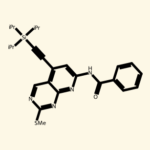 CSc1ncc2c(C#C[Si](C(C)C)(C(C)C)C(C)C)cc(NC(=O)c3ccccc3)nc2n1